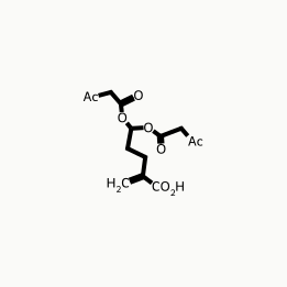 C=C(CCC(OC(=O)CC(C)=O)OC(=O)CC(C)=O)C(=O)O